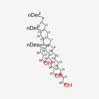 CCCCCCCCCCCCCCCCCCCCCCCCCCCCO.CCCCCCCCCCCCCCCCCCCCCCO.CCCCCCCCCCCCCCO